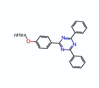 CCCCCCOc1ccc(-c2nc(-c3ccccc3)nc(-c3ccccc3)n2)cc1